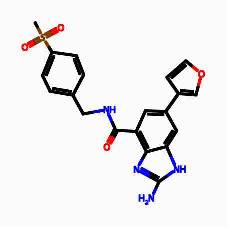 CS(=O)(=O)c1ccc(CNC(=O)c2cc(-c3ccoc3)cc3[nH]c(N)nc23)cc1